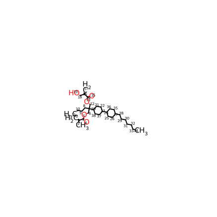 C=C(C)C(=O)OCC(CCCC)(COC(=O)C(=C)CO)C1CCC(C2CCC(CCCCCCC)CC2)CC1